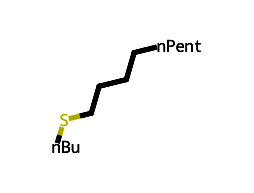 [CH2]CCCSCCCCCCCCC